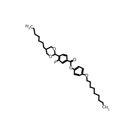 CCCCCCCCCOc1ccc(OC(=O)c2ccc(C3OCC(CCCCCCC)CO3)c(F)c2)cc1